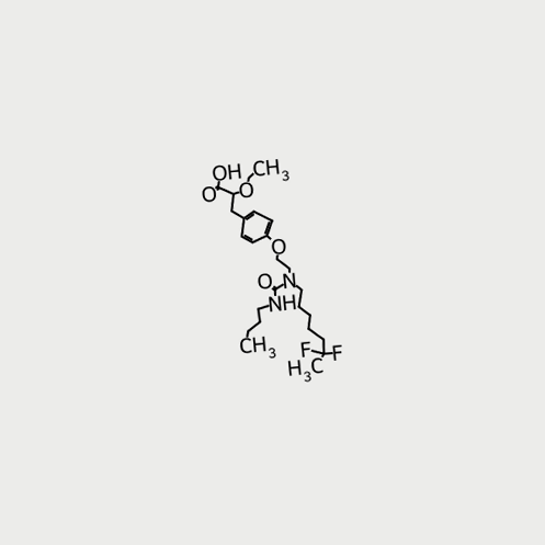 CCCCNC(=O)N(CCCCCC(C)(F)F)CCOc1ccc(CC(OCC)C(=O)O)cc1